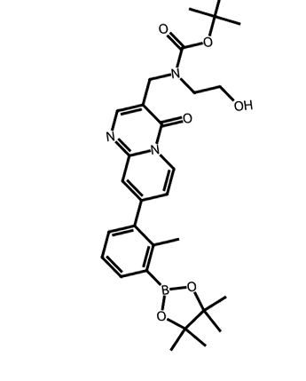 Cc1c(B2OC(C)(C)C(C)(C)O2)cccc1-c1ccn2c(=O)c(CN(CCO)C(=O)OC(C)(C)C)cnc2c1